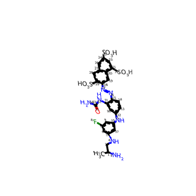 CC(N)CNc1cc(F)cc(Nc2ccc(/N=N/c3cc4c(S(=O)(=O)O)cc(S(=O)(=O)O)cc4cc3S(=O)(=O)O)c(NC(N)=O)c2)c1